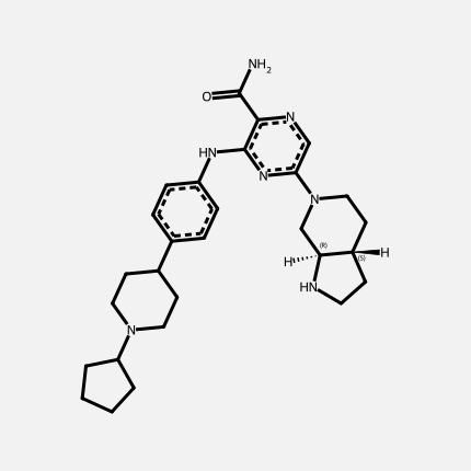 NC(=O)c1ncc(N2CC[C@@H]3CCN[C@H]3C2)nc1Nc1ccc(C2CCN(C3CCCC3)CC2)cc1